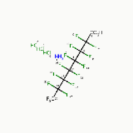 Cl.Cl.Cl.N.O=C(O)C(F)(F)C(F)(F)C(F)(F)C(F)(F)C(F)(F)C(F)(F)C(F)(F)F